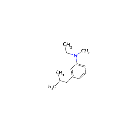 CCN(C)c1cccc(CC(C)C)c1